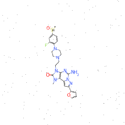 Cn1c(=O)n(CCN2CCN(c3ccc([S@+](C)[O-])cc3F)CC2)c2nc(N)n3nc(-c4ccco4)cc3c21